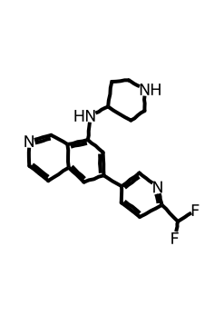 FC(F)c1ccc(-c2cc(NC3CCNCC3)c3cnccc3c2)cn1